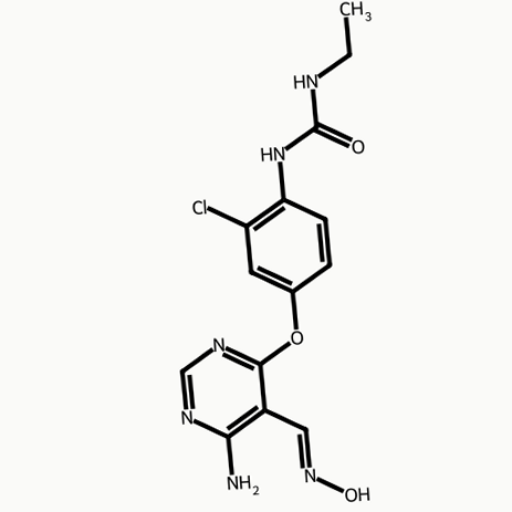 CCNC(=O)Nc1ccc(Oc2ncnc(N)c2C=NO)cc1Cl